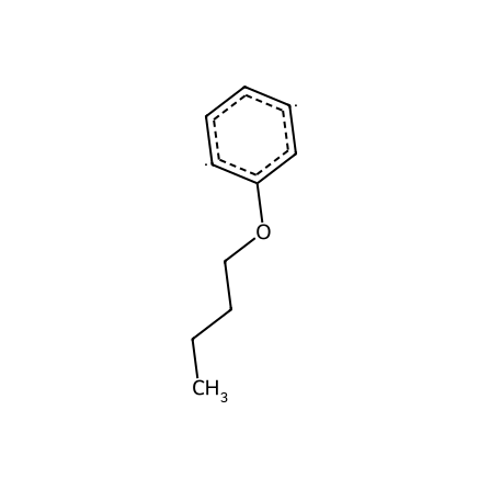 CCCCOc1[c]cc[c]c1